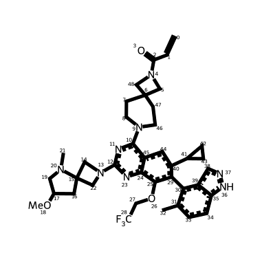 C=CC(=O)N1CC2(CCN(c3nc(N4CC5(CC(OC)CN5C)C4)nc4c(OCC(F)(F)F)c(-c5c(C)ccc6[nH]ncc56)c(C5CC5)cc34)CC2)C1